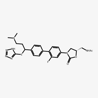 CC(=O)NC[C@H]1CN(c2ccc(-c3ccc(C(CCN(C)C)Sc4nnn[nH]4)cc3)c(F)c2)C(=O)O1